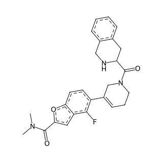 CN(C)C(=O)c1cc2c(F)c(C3=CCCN(C(=O)C4Cc5ccccc5CN4)C3)ccc2o1